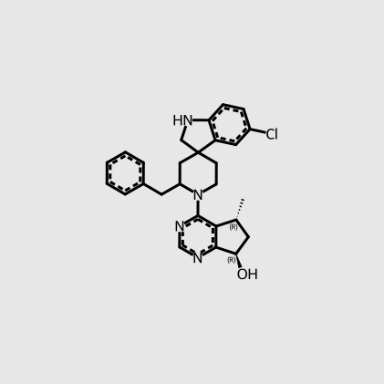 C[C@@H]1C[C@@H](O)c2ncnc(N3CCC4(CNc5ccc(Cl)cc54)CC3Cc3ccccc3)c21